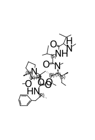 CC[C@H](C)[C@@H]([C@@H](CC(=O)N1CCC[C@@]1(C)[C@H](OC)[C@@H](C)C(=O)N[C@H](C)Cc1ccccc1)OC)N(C)C(=O)[C@@H](NC(=O)C(NC)C(C)C)C(C)C